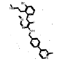 C=N/C=N\C(NCc1ccc(-c2ccnc(C)c2)cc1)=C(\F)Cc1cccc(Br)c1CCNC